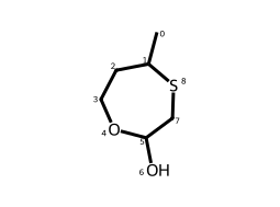 CC1CCOC(O)CS1